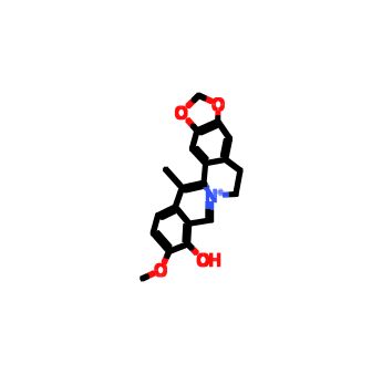 COc1ccc2c(C)c3[n+](cc2c1O)CCc1cc2c(cc1-3)OCO2